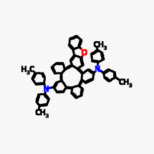 Cc1ccc(N(c2ccc(C)cc2)c2ccc3c4ccccc4c4ccc(N(c5ccc(C)cc5)c5ccc(C)cc5)cc4c4cc5oc6ccccc6c5cc4c4ccccc4c3c2)cc1